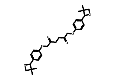 CC1(C)COC1c1ccc(OCC(=O)CCC(=O)COc2ccc(C3OCC3(C)C)cc2)cc1